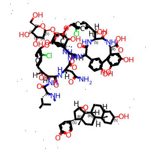 CN[C@H](CC(C)C)C(=O)N[C@H]1C(=O)N[C@@H](CC(N)=O)C(=O)N[C@H]2C(=O)N[C@H]3C(=O)N[C@H](C(=O)N[C@@H](C(=O)O)c4cc(O)cc(O)c4-c4cc3ccc4O)[C@H](O)c3ccc(c(Cl)c3)Oc3cc2cc(c3O[C@@H]2O[C@H](CO)[C@@H](O)[C@H](O)[C@H]2O[C@H]2C[C@](C)(N)C(O)[C@H](C)O2)Oc2ccc(cc2Cl)[C@H]1O.C[C@]12CC[C@H](O)C[C@H]1CC[C@@H]1[C@@H]2CC[C@]2(C)[C@@H](c3ccc(=O)oc3)C[C@H]3O[C@]132